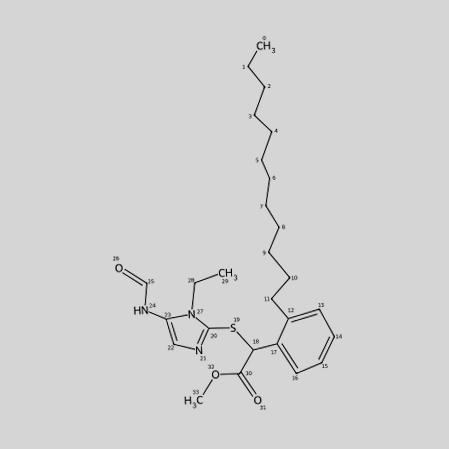 CCCCCCCCCCCCc1ccccc1C(Sc1ncc(NC=O)n1CC)C(=O)OC